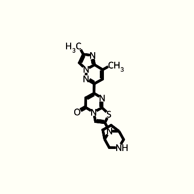 Cc1cn2nc(-c3cc(=O)n4cc(N5C6CCC5CNC6)sc4n3)cc(C)c2n1